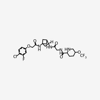 O=C(CNC(=O)C1CCC(OC(F)(F)F)CN1)N[C@@H]1CC2(NC(=O)COc3ccc(Cl)c(F)c3)CC1C2